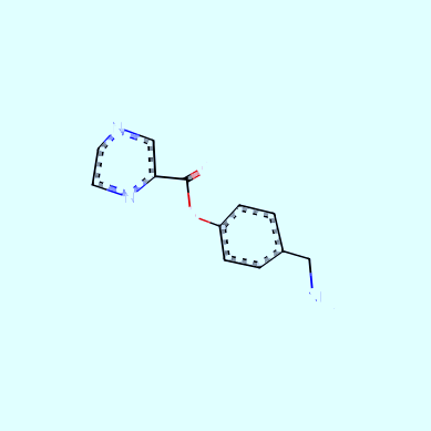 NCc1ccc(OC(=O)c2cnccn2)cc1